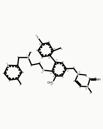 Cc1ccnc(CN(C)CCOc2c(C=O)cc(CN(C)/C=C\N(C)C=N)cc2-c2ccc(F)cc2C)c1